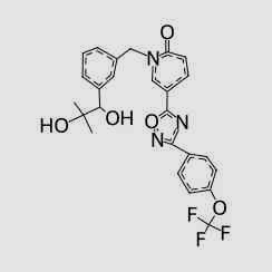 CC(C)(O)C(O)c1cccc(Cn2cc(-c3nc(-c4ccc(OC(F)(F)F)cc4)no3)ccc2=O)c1